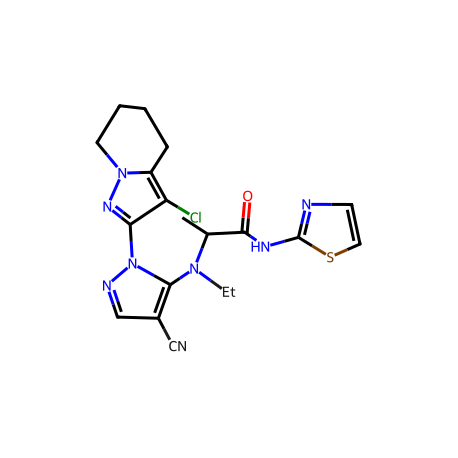 CCN(c1c(C#N)cnn1-c1nn2c(c1Cl)CCCC2)C(C)C(=O)Nc1nccs1